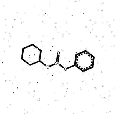 O=[Se](Oc1ccccc1)OC1CCCCC1